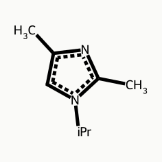 Cc1cn(C(C)C)c(C)n1